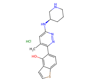 Cc1cc(N[C@@H]2CCCNC2)nnc1-c1ccc2sccc2c1O.Cl